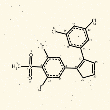 CS(=O)(=O)c1c(F)cc(C2=C(c3cc(Cl)cc(Cl)c3)C=CC2)cc1F